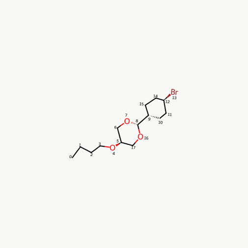 CCCCO[C@H]1CO[C@H]([C@H]2CC[C@H](Br)CC2)OC1